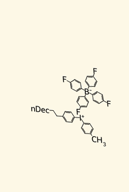 CCCCCCCCCCCCc1ccc([I+]c2ccc(C)cc2)cc1.Fc1ccc([B-](c2ccc(F)cc2)(c2ccc(F)cc2)c2ccc(F)cc2)cc1